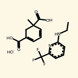 CC1(C(=O)O)C=CC=C(C(=O)O)C1.CCNc1cccc(C(F)(F)F)n1.Cl